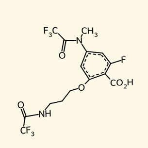 CN(C(=O)C(F)(F)F)c1cc(F)c(C(=O)O)c(OCCCNC(=O)C(F)(F)F)c1